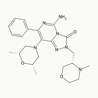 C[C@@H]1CN(c2c(-c3ccccc3)nc(N)n3c(=O)n(C[C@H]4COCCN4C)nc23)C[C@H](C)O1